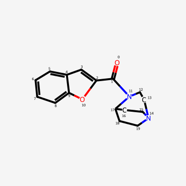 O=C(c1cc2ccccc2o1)N1CCN2CCC1CC2